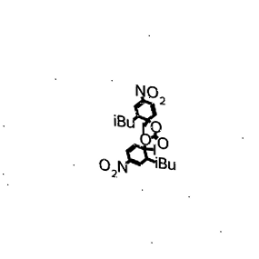 CCC(C)C1C=C([N+](=O)[O-])C=CC1(I)OC(=O)OC1(I)C=CC([N+](=O)[O-])=CC1C(C)CC